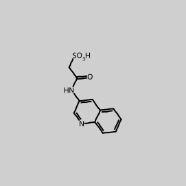 O=C(CS(=O)(=O)O)Nc1cnc2ccccc2c1